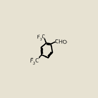 O=[C]c1ccc(C(F)(F)F)cc1C(F)(F)F